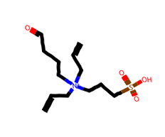 C=CC[N+](CC=C)(CCCC=O)CCCS(=O)(=O)O